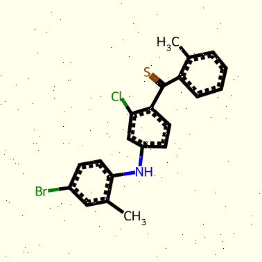 Cc1cc(Br)ccc1Nc1ccc(C(=S)c2ccccc2C)c(Cl)c1